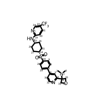 CN(C)C1(c2cc(-c3ccc(S(=O)(=O)[C@H]4CC[C@H](Nc5ccc(C(F)(F)F)cn5)CC4)cc3)ccn2)COC1